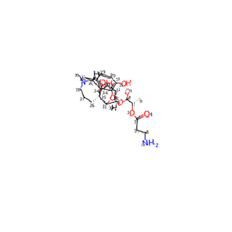 C[C@H](OC(=O)CCN)C(=O)OC1=CC[C@@]2(O)[C@H]3Cc4ccc(O)c5c4[C@@]2(CCCN3C)[C@H]1O5